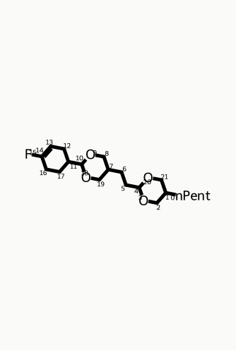 CCCCCC1COC(CCC2COC(C3CC=C(F)CC3)OC2)OC1